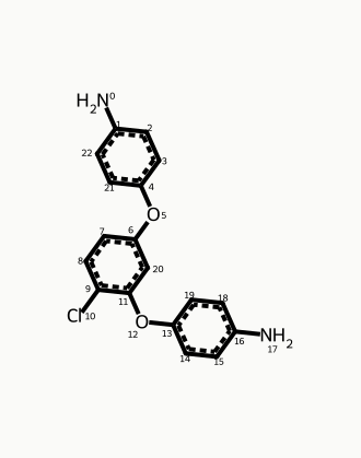 Nc1ccc(Oc2ccc(Cl)c(Oc3ccc(N)cc3)c2)cc1